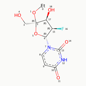 CCO[C@]1(CO)O[C@@H](n2ccc(=O)[nH]c2=O)[C@H](F)[C@@H]1O